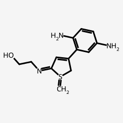 C=S1CC(c2cc(N)ccc2N)=CC1=NCCO